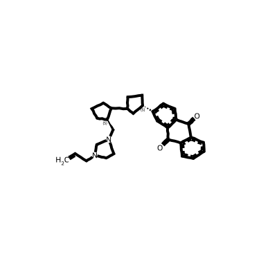 C=CCN1CCN(C[C@H]2CCCC2C2CC[C@H](c3ccc4c(c3)C(=O)c3ccccc3C4=O)C2)C1